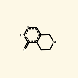 O=c1[nH]ncc2c1CCNC2